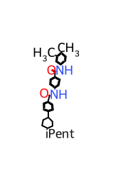 CCCC(C)C1CCC(c2ccc(C(=O)Nc3ccc(C(=O)Nc4ccc(C)c(C)c4)cc3)cc2)CC1